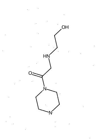 O=C(CNCCO)N1CC[N]CC1